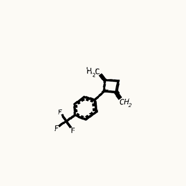 C=C1CC(=C)C1c1ccc(C(F)(F)F)cc1